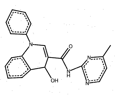 Cc1ccnc(NC(=O)C2=CN(c3ccccc3)c3ccccc3C2O)n1